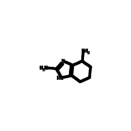 Nc1nc2c([nH]1)CCCC2N